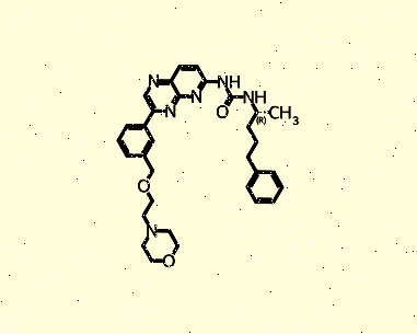 C[C@H](CCCc1ccccc1)NC(=O)Nc1ccc2ncc(-c3cccc(COCCN4CCOCC4)c3)nc2n1